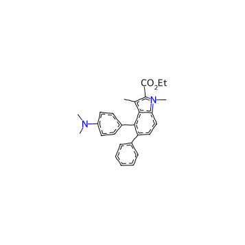 CCOC(=O)c1c(C)c2c(-c3ccc(N(C)C)cc3)c(-c3ccccc3)ccc2n1C